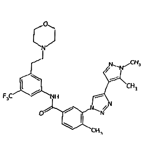 Cc1ccc(C(=O)Nc2cc(CCN3CCOCC3)cc(C(F)(F)F)c2)cc1-n1cc(-c2cnn(C)c2C)nn1